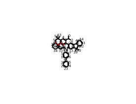 CC(C)c1cc2c(cc1-c1cc3c(cc1N(c1ccc(-c4ccccc4)cc1)c1ccc4c(c1)CCCC4)C(C)(C)c1ccccc1-3)C(C)(C)CCC2(C)C